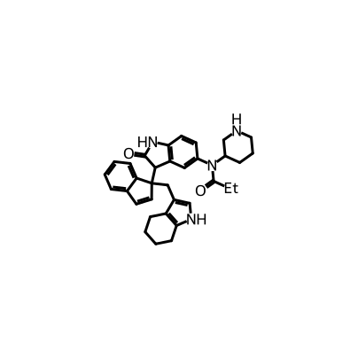 CCC(=O)N(c1ccc2c(c1)C(C1(Cc3c[nH]c4c3CCCC4)C=Cc3ccccc31)C(=O)N2)C1CCCNC1